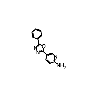 Nc1ccc(-c2nnc(-c3ccccc3)o2)cn1